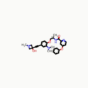 C[C@H](COc1ccc(C#CC2(O)CN(C)C2)cc1N(C)C=O)NC(=O)c1cc(Oc2ccccc2)ccn1